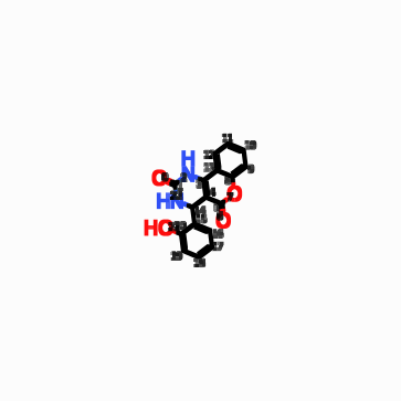 O=C1Nc2c(c(=O)oc3ccccc23)C(c2ccccc2O)N1